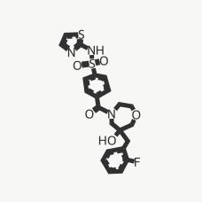 O=C(c1ccc(S(=O)(=O)Nc2nccs2)cc1)N1CCOCC(O)(Cc2ccccc2F)C1